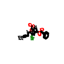 CCC#CC[C@H](C)C(=O)/C(Br)=C\[C@H]1[C@H]2CC(=O)O[C@H]2C[C@H]1OC(=O)c1ccccc1